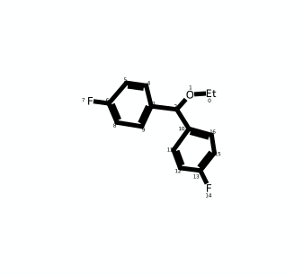 [CH2]COC(c1ccc(F)cc1)c1ccc(F)cc1